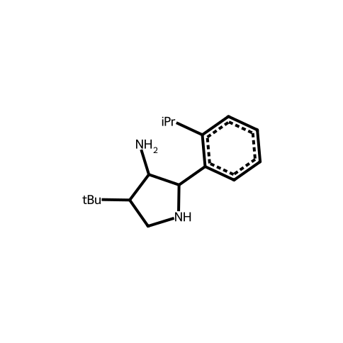 CC(C)c1ccccc1C1NCC(C(C)(C)C)C1N